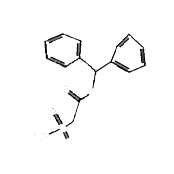 NS(=O)(=O)CC(=O)OC(c1ccccc1)c1ccccc1